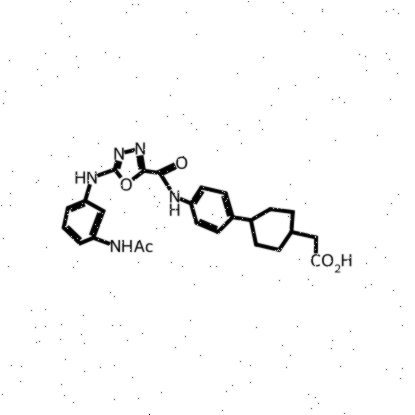 CC(=O)Nc1cccc(Nc2nnc(C(=O)Nc3ccc(C4CCC(CC(=O)O)CC4)cc3)o2)c1